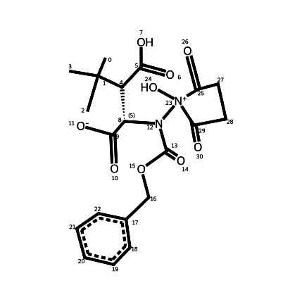 CC(C)(C)C(C(=O)O)[C@@H](C(=O)[O-])N(C(=O)OCc1ccccc1)[N+]1(O)C(=O)CCC1=O